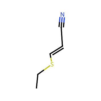 CCSC=CC#N